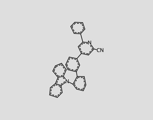 N#Cc1cc(-c2cccc(-c3ccccc3-n3c4ccccc4c4ccccc43)c2)cc(-c2ccccc2)n1